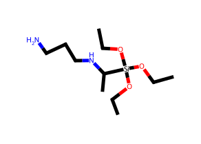 CCO[Si](OCC)(OCC)C(C)NCCCN